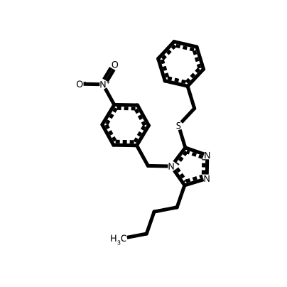 CCCCc1nnc(SCc2ccccc2)n1Cc1ccc([N+](=O)[O-])cc1